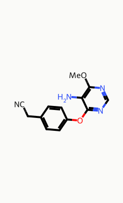 COc1ncnc(Oc2ccc(CC#N)cc2)c1N